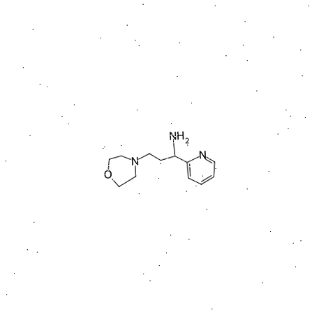 NC(CCN1CCOCC1)c1ccccn1